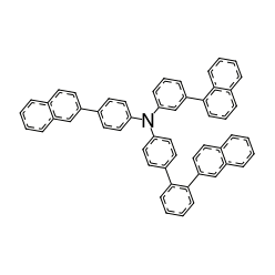 c1cc(-c2cccc3ccccc23)cc(N(c2ccc(-c3ccc4ccccc4c3)cc2)c2ccc(-c3ccccc3-c3ccc4ccccc4c3)cc2)c1